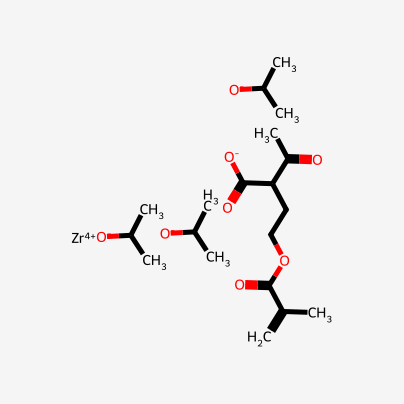 C=C(C)C(=O)OCCC(C(C)=O)C(=O)[O-].CC(C)[O-].CC(C)[O-].CC(C)[O-].[Zr+4]